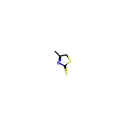 CC1=NC(=S)SC1